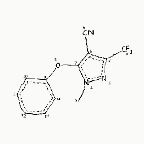 Cn1nc(C(F)(F)F)c(C#N)c1Oc1ccccc1